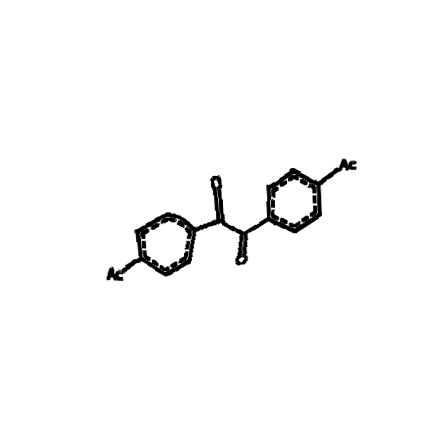 CC(=O)c1ccc(C(=O)C(=O)c2ccc(C(C)=O)cc2)cc1